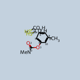 CNC(=O)Oc1cccc(C)c1.O=C(O)S.O=C(O)S